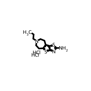 CCCN1CCc2sc3nc(N)sc3c2CC1.Cl.Cl